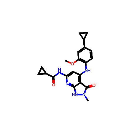 COc1cc(C2CC2)ccc1Nc1cc(NC(=O)C2CC2)nc2[nH]n(C)c(=O)c12